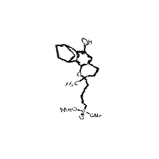 COP(=O)(CCCC1(C)CCc2cc(O)c3c(c2O1)C1CCC3C1)OC